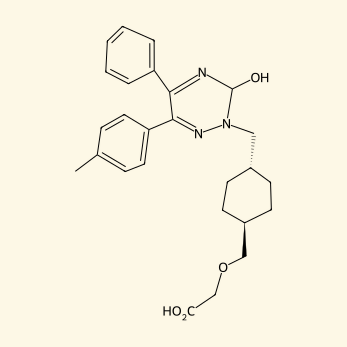 Cc1ccc(C2=NN(C[C@H]3CC[C@H](COCC(=O)O)CC3)C(O)N=C2c2ccccc2)cc1